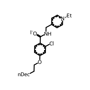 CCCCCCCCCCCCOc1ccc(C(=O)NCc2cc[n+](CC)cc2)c(Cl)c1.[I-]